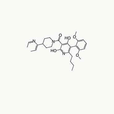 C/C=N\C(=C/C)C1CCN(C(=O)c2c(O)nc(CCCC)c(-c3c(OC)cccc3OC)c2O)CC1